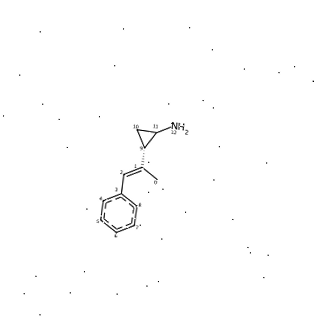 C/C(=C\c1ccccc1)[C@@H]1CC1N